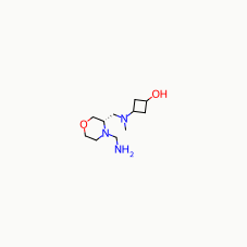 CN(C[C@H]1COCCN1CN)C1CC(O)C1